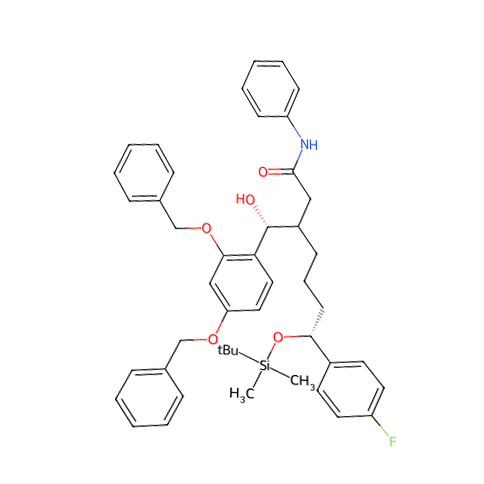 CC(C)(C)[Si](C)(C)O[C@H](CCCC(CC(=O)Nc1ccccc1)[C@@H](O)c1ccc(OCc2ccccc2)cc1OCc1ccccc1)c1ccc(F)cc1